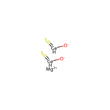 [Mg+2].[O-][GeH]=[S].[O-][GeH]=[S]